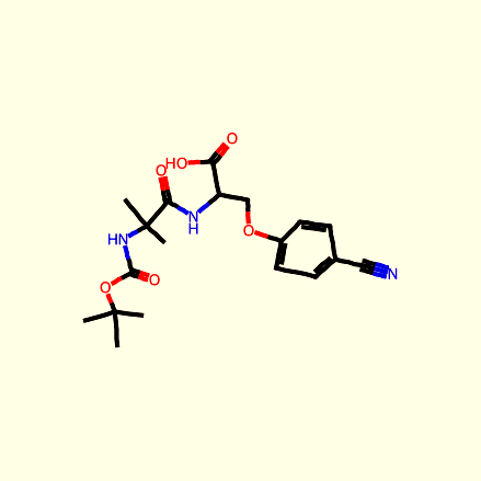 CC(C)(C)OC(=O)NC(C)(C)C(=O)NC(COc1ccc(C#N)cc1)C(=O)O